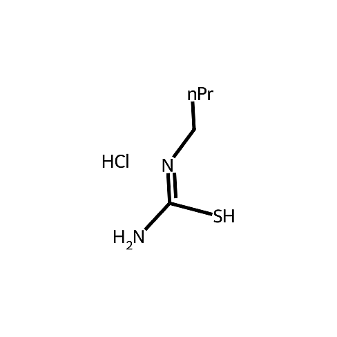 CCCCN=C(N)S.Cl